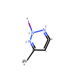 CC(C)C1=NN(I)N=C=C1